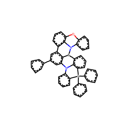 c1ccc(-c2cc3c4c(c2)N2c5ccccc5[Si](c5ccccc5)(c5ccccc5)c5cccc(c52)B4N2c4ccccc4Oc4cccc-3c42)cc1